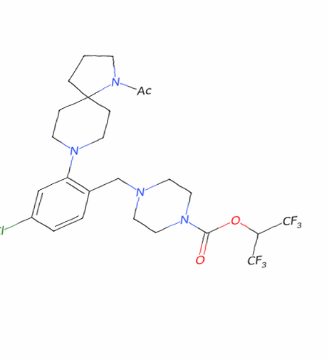 CC(=O)N1CCCC12CCN(c1cc(Cl)ccc1CN1CCN(C(=O)OC(C(F)(F)F)C(F)(F)F)CC1)CC2